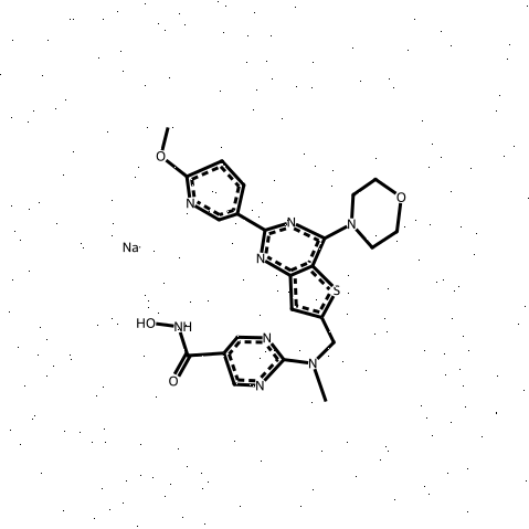 COc1ccc(-c2nc(N3CCOCC3)c3sc(CN(C)c4ncc(C(=O)NO)cn4)cc3n2)cn1.[Na]